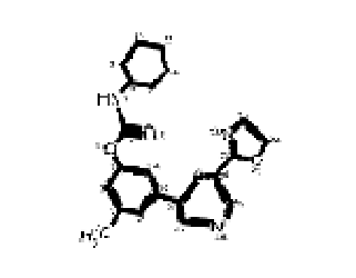 Cc1cc(OC(=O)NC2CCCCC2)cc(-c2cncc(-c3ncco3)c2)c1